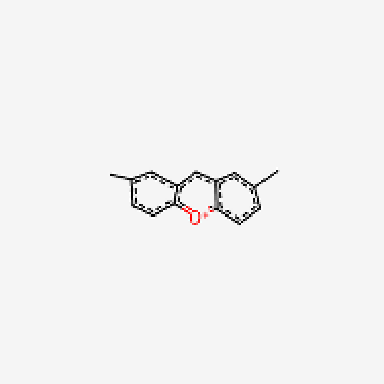 Cc1ccc2[o+]c3ccc(C)cc3cc2c1